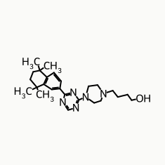 CC1(C)CCC(C)(C)c2cc(-c3ncnc(N4CCN(CCCCO)CC4)n3)ccc21